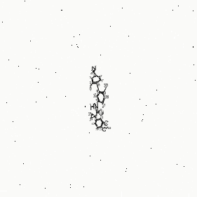 Cc1cc(C#N)ccc1-c1cc(NC(=O)C2(c3ccc4c(c3)OCO4)CC2)ccc1C